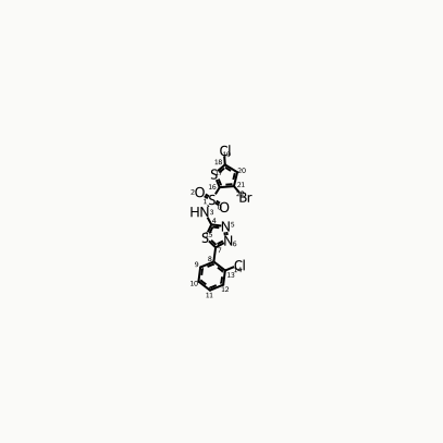 O=S(=O)(Nc1nnc(-c2ccccc2Cl)s1)c1sc(Cl)cc1Br